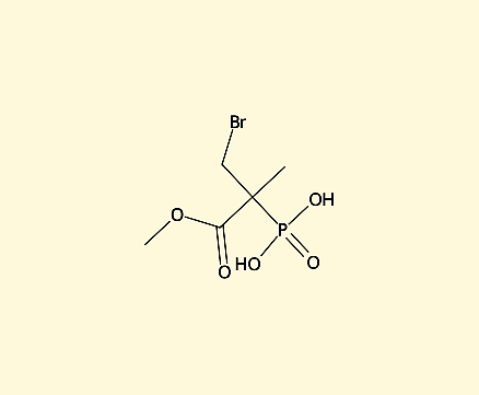 COC(=O)C(C)(CBr)P(=O)(O)O